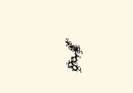 COc1ccc2nccc(N3CCC(C(C)CNS(=O)(=O)NC(=O)OC(C)(C)C)CC3)c2c1